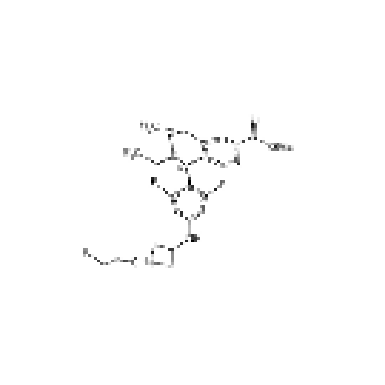 COC(=O)c1ccc2c(c1)C[C@@H](C)N(CC(F)(F)F)[C@@H]2c1c(F)cc(NC2CN(CCCF)C2)cc1F